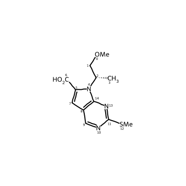 COC[C@H](C)n1c(C(=O)O)cc2cnc(SC)nc21